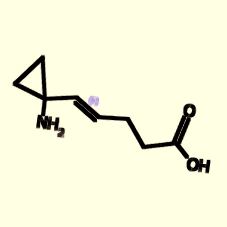 NC1(/C=C/CCC(=O)O)CC1